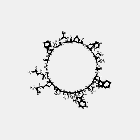 CCCC[C@H]1C(=O)N[C@@H](CCCNC(=N)N)C(=O)N[C@H](C(=O)NCC(N)=O)CSCC(=O)N[C@@H](Cc2ccccc2)C(=O)N(C)[C@@H](C)C(=O)N[C@@H](CC(N)=O)C(=O)N2CCCC2C(=O)N[C@@H](Cc2cnc[nH]2)C(=O)N[C@@H](CC(C)C)C(=O)N(C)CC(=O)N[C@@H](Cc2c[nH]c3ccccc23)C(=O)N[C@@H](CO)C(=O)N[C@@H](Cc2c[nH]c3ccccc23)C(=O)N(C)[C@@H](C)C(=O)N1C